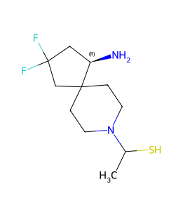 CC(S)N1CCC2(CC1)CC(F)(F)C[C@H]2N